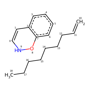 C1=Cc2ccccc2ON1.C=CCCCCCCC